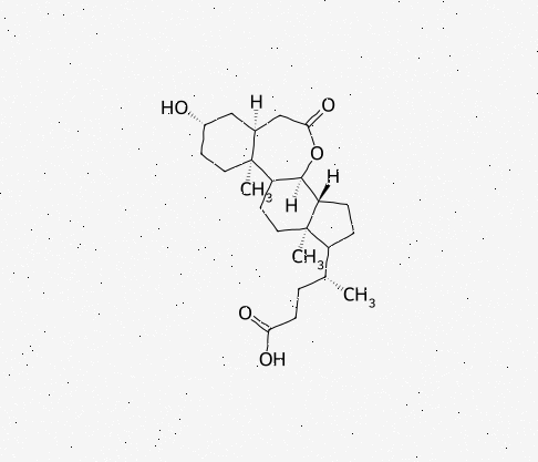 C[C@H](CCC(=O)O)C1CC[C@H]2[C@@H]3OC(=O)C[C@@H]4C[C@@H](O)CC[C@]4(C)C3CC[C@]12C